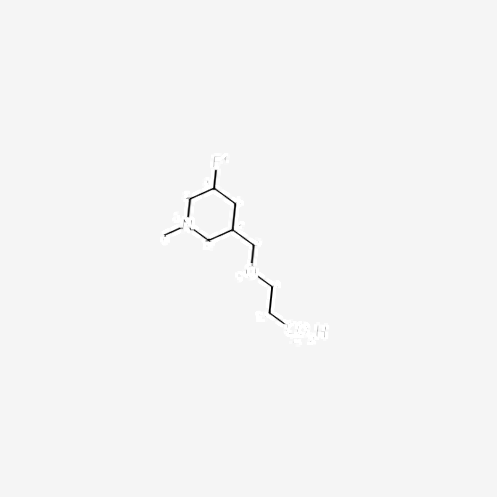 CN1CC(F)CC(COCCC(=O)O)C1